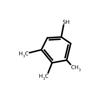 Cc1cc(S)cc(C)c1C